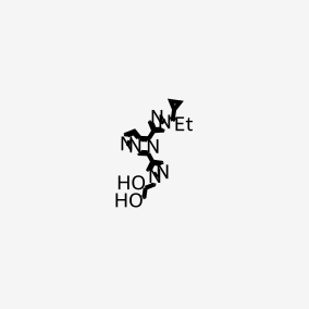 CCC(C1CC1)n1cc(-c2nc(-c3cnn(CC(O)CO)c3)cn3nccc23)cn1